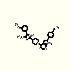 C#Cc1ccc(-c2cc3c(N4CCC(c5nc(C)c(-c6cccc(OCC)c6)[nH]5)CC4)ncnc3[nH]2)cc1